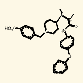 C[C@@H](C(=O)Nc1ccc(Oc2ccccc2)cc1)N(C)C1CCN(Cc2ccc(C(=O)O)cc2)CC1